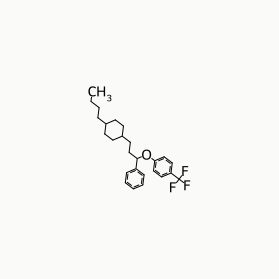 CCCCC1CCC(CCC(Oc2ccc(C(F)(F)F)cc2)c2ccccc2)CC1